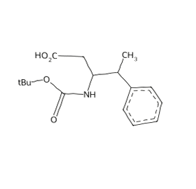 CC(c1ccccc1)C(CC(=O)O)NC(=O)OC(C)(C)C